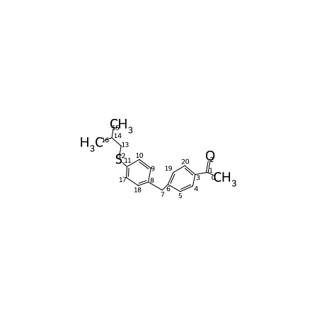 CC(=O)c1ccc(Cc2ccc(SCC(C)C)cc2)cc1